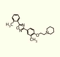 Cc1cc(-c2noc(-c3ccccc3C)n2)ccc1OCCN1CCCCC1